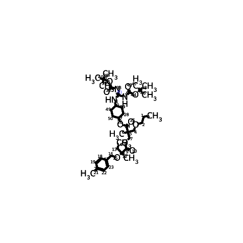 CCCOCC(C)(COC(=O)C(C)(CC)OCc1ccc(C)cc1)C(=O)OC1CCC(N/C(=N\C(=O)OC(C)(C)C)NC(=O)OC(C)(C)C)CC1